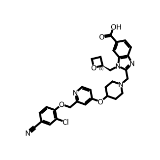 N#Cc1ccc(OCc2cc(OC3CCN(Cc4nc5ccc(C(=O)O)cc5n4C[C@@H]4CCO4)CC3)ccn2)c(Cl)c1